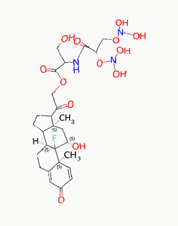 C[C@]12C[C@H](O)C3(F)[C@@H](CCC4=CC(=O)C=C[C@@]43C)C1CCC2C(=O)COC(=O)C(CO)NC(=O)C(CON(O)O)ON(O)O